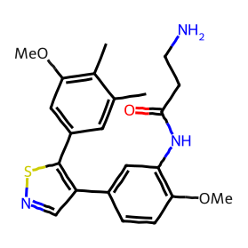 COc1ccc(-c2cnsc2-c2cc(C)c(C)c(OC)c2)cc1NC(=O)CCN